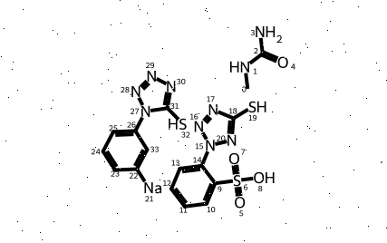 CNC(N)=O.O=S(=O)(O)c1ccccc1-n1nnc(S)n1.[Na][c]1cccc(-n2nnnc2S)c1